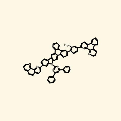 Cc1cc(-c2ccc3c4ccccc4c4cccnc4c3n2)ccc1-c1ccc2c(c1)c1ccccc1c1cc3c4ccc(-c5ccc6ccc7cccnc7c6n5)cc4n(-c4nc(-c5ccccc5)cc(-c5ccccc5)n4)c3cc21